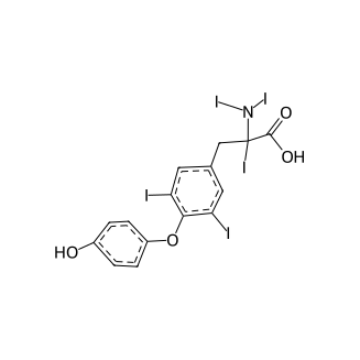 O=C(O)C(I)(Cc1cc(I)c(Oc2ccc(O)cc2)c(I)c1)N(I)I